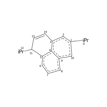 CC(C)c1cc2c3c(cccc3c1)C(C(C)C)C=C2